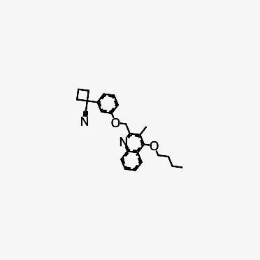 CCCCOc1c(C)c(COc2cccc(C3(C#N)CCC3)c2)nc2ccccc12